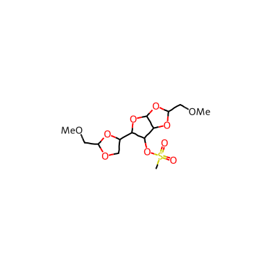 COCC1OCC(C2OC3OC(COC)OC3C2OS(C)(=O)=O)O1